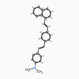 CN(C)c1ccc(C=Cc2ccc(C=Cc3cccc4ccccc34)cc2)cc1